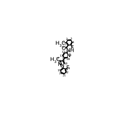 Cc1cccc(F)c1C(=O)Nc1ccc(-c2cn(-c3ccccc3F)nc2C)cn1